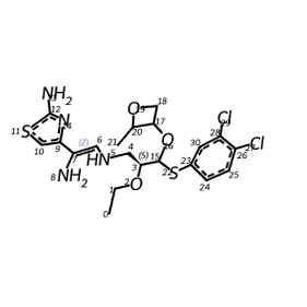 CCO[C@@H](CN/C=C(\N)c1csc(N)n1)C(OC1COC1C)Sc1ccc(Cl)c(Cl)c1